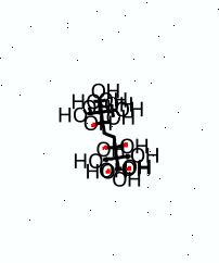 CC(C)(CCC(C)(C)C(C(O)(O)O)(C(O)(O)O)C(O)(O)O)C(C(O)(O)O)(C(O)(O)O)C(O)(O)O